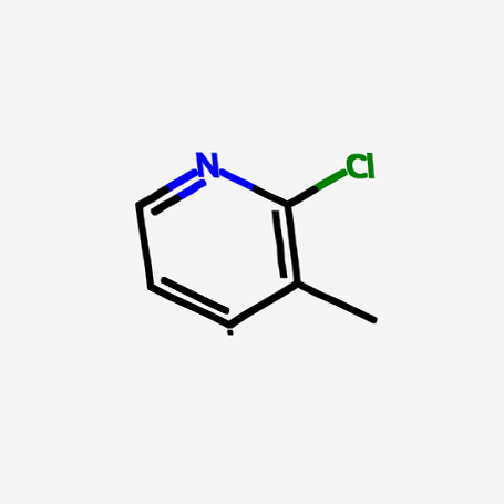 Cc1[c]ccnc1Cl